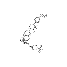 CC1(C)C2CC[C@@]3(C)C4CC[C@@]5(NCCN6CCC(S(C)(=O)=O)CC6)CCC[C@@H]5[C@H]4CCC3[C@@]2(C)CC[C@H]1c1ccc(C(=O)O)cc1